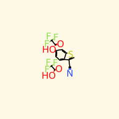 N#Cc1csc2ccccc12.O=C(O)C(F)(F)F.O=C(O)C(F)(F)F